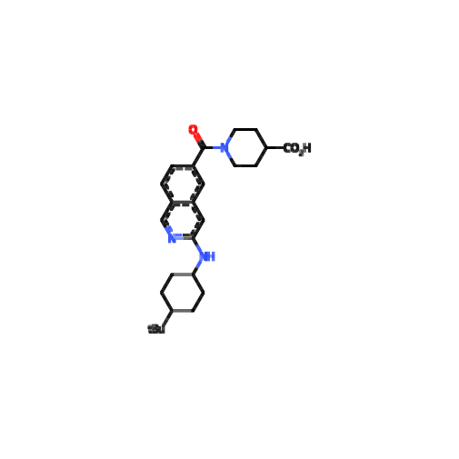 CC(C)(C)C1CCC(Nc2cc3cc(C(=O)N4CCC(C(=O)O)CC4)ccc3cn2)CC1